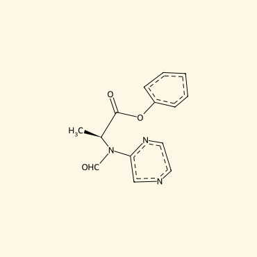 C[C@@H](C(=O)Oc1ccccc1)N(C=O)c1cnccn1